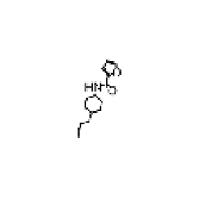 O=C(N[C@H]1CC[C@H](CCI)CC1)c1ccco1